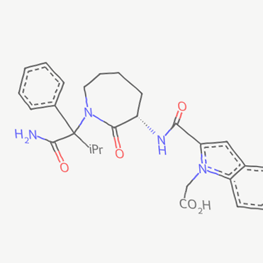 CC(C)C(C(N)=O)(c1ccccc1)N1CCCC[C@H](NC(=O)c2cc3ccccc3n2CC(=O)O)C1=O